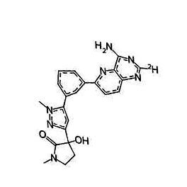 [2H]c1nc(N)c2nc(-c3cccc(-c4cc(C5(O)CCN(C)C5=O)nn4C)c3)ccc2n1